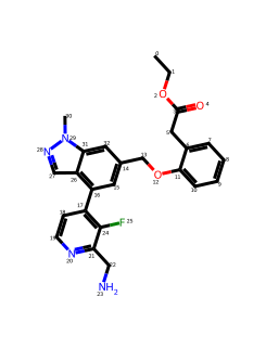 CCOC(=O)Cc1ccccc1OCc1cc(-c2ccnc(CN)c2F)c2cnn(C)c2c1